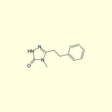 Cn1c(CCc2ccccc2)n[nH]c1=O